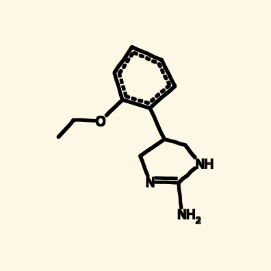 CCOc1ccccc1C1CN=C(N)NC1